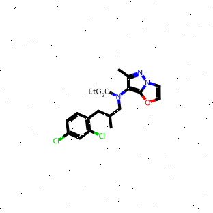 CCOC(=O)N(CC(C)Cc1ccc(Cl)cc1Cl)c1c(C)nn2ccoc12